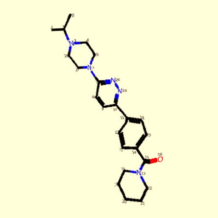 CC(C)N1CCN(c2ccc(-c3ccc(C(=O)N4CCCCC4)cc3)nn2)CC1